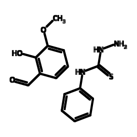 COc1cccc(C=O)c1O.NNC(=S)Nc1ccccc1